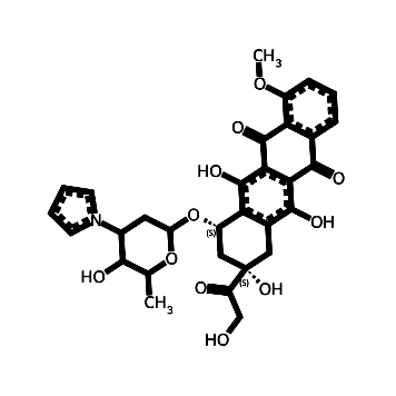 COc1cccc2c1C(=O)c1c(O)c3c(c(O)c1C2=O)C[C@@](O)(C(=O)CO)C[C@@H]3OC1CC(n2cccc2)C(O)C(C)O1